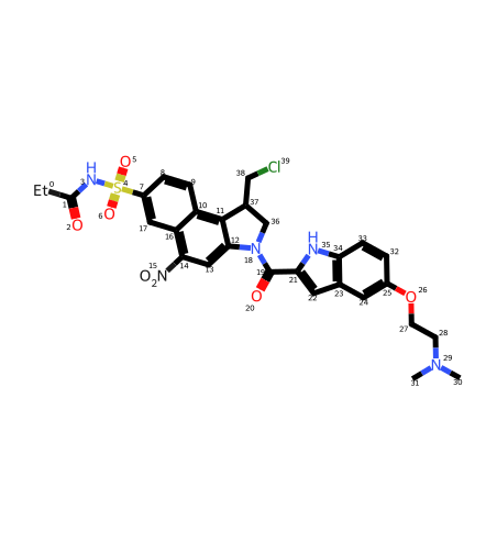 CCC(=O)NS(=O)(=O)c1ccc2c3c(cc([N+](=O)[O-])c2c1)N(C(=O)c1cc2cc(OCCN(C)C)ccc2[nH]1)CC3CCl